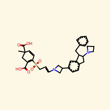 CC1(C(=O)O)C=CC(S(=O)(=O)CC=CN2CC(c3ccc4c(c3)C(Cc3ccccc3)C(N3CCC3)C4)C2)=C(C(=O)O)C1